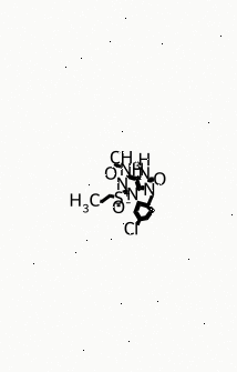 CCC[S+]([O-])c1nc(NC(C)=O)c2[nH]c(=O)n(Cc3ccc(Cl)cc3)c2n1